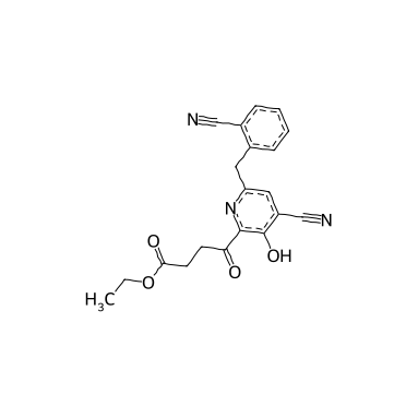 CCOC(=O)CCC(=O)c1nc(Cc2ccccc2C#N)cc(C#N)c1O